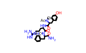 CC(=O)N(C)C(Cc1ccc(O)cc1)C(=O)NC(CCCNC(=N)N)C(=O)N(C)C(Cc1ccccc1)C(N)=O